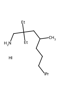 CCC(CC)(CN)CC(C)CCCC(C)C.I